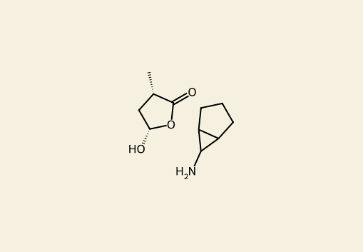 C[C@H]1C[C@@H](O)OC1=O.NC1C2CCCC12